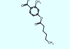 CCCCCC(=O)Oc1ccc(C(=O)Cl)c(C)c1